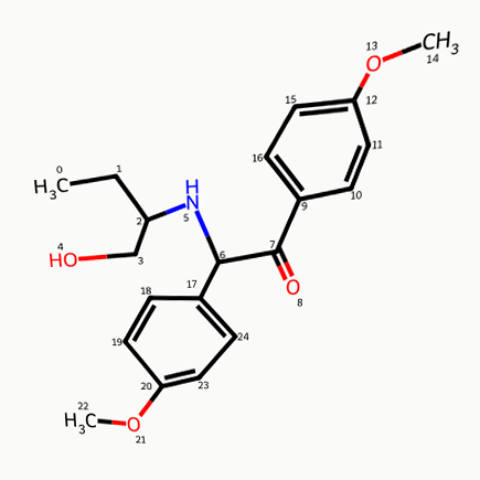 CCC(CO)NC(C(=O)c1ccc(OC)cc1)c1ccc(OC)cc1